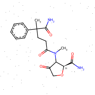 CN(C(=O)[CH]CC(C)(C(N)=O)c1ccccc1)C1C(=O)CO[C@@H]1C(N)=O